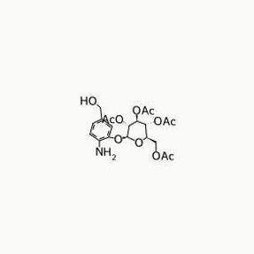 CC(=O)OC[C@H]1O[C@@H](Oc2cc(CO)ccc2N)[C@H](OC(C)=O)[C@@H](OC(C)=O)[C@@H]1OC(C)=O